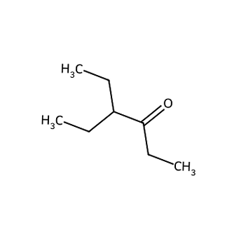 CCC(=O)C(CC)CC